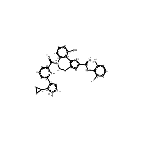 Cc1cccc(F)c1NC(=O)c1cc2c(s1)-c1c(F)cccc1N(C(=O)c1cccc(-c3cn[nH]c3C3CC3)n1)CC2